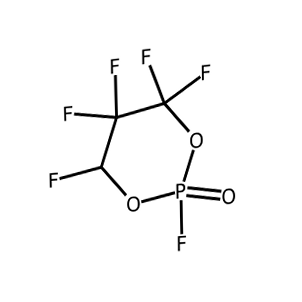 O=P1(F)OC(F)C(F)(F)C(F)(F)O1